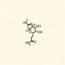 CNC(=O)CC[C@H]1O[C@@H]2SC(N(C)C)=N[C@@H]2[C@@H](O)[C@H]1O